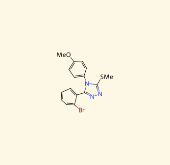 COc1ccc(-n2c(SC)nnc2-c2ccccc2Br)cc1